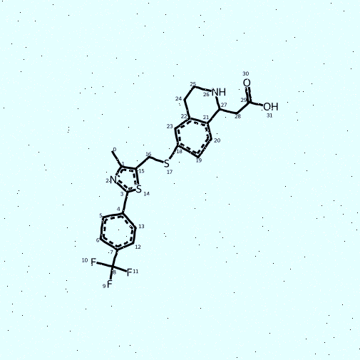 Cc1nc(-c2ccc(C(F)(F)F)cc2)sc1CSc1ccc2c(c1)CCNC2CC(=O)O